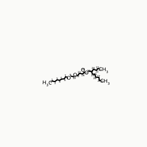 CCCCCCCCOCCOCCCC(=O)OCC(CCCC)CCCCCC